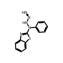 N=NNN(c1ccccc1)c1nc2ccccc2s1